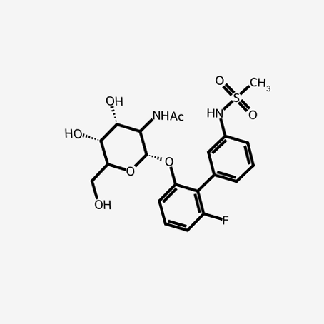 CC(=O)NC1[C@H](Oc2cccc(F)c2-c2cccc(NS(C)(=O)=O)c2)OC(CO)[C@H](O)[C@@H]1O